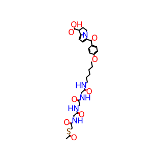 CC(=O)SCC(=O)NCC(=O)NCC(=O)NCC(=O)NCCCCCCOc1ccc(C(=O)c2ccc3n2CCC3C(=O)O)cc1